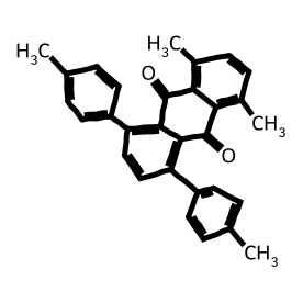 Cc1ccc(-c2ccc(-c3ccc(C)cc3)c3c2C(=O)c2c(C)ccc(C)c2C3=O)cc1